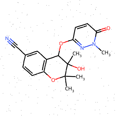 Cn1nc(OC2c3cc(C#N)ccc3OC(C)(C)C2(C)O)ccc1=O